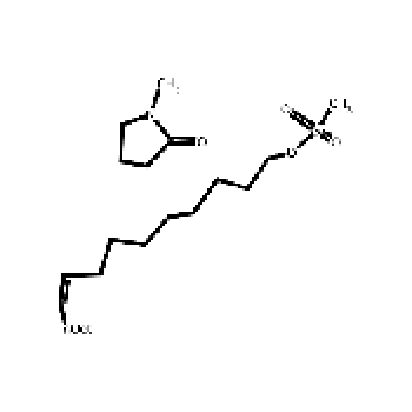 CCCCCCCC/C=C\CCCCCCCCOS(C)(=O)=O.CN1CCCC1=O